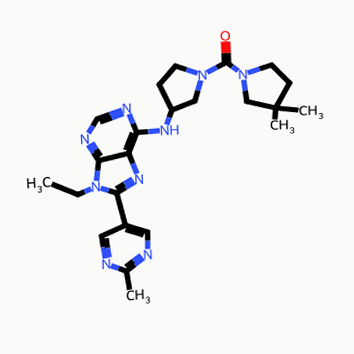 CCn1c(-c2cnc(C)nc2)nc2c(NC3CCN(C(=O)N4CCC(C)(C)C4)C3)ncnc21